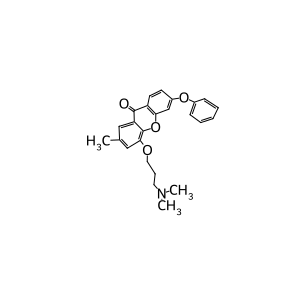 Cc1cc(OCCCN(C)C)c2oc3cc(Oc4ccccc4)ccc3c(=O)c2c1